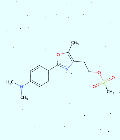 Cc1oc(-c2ccc(N(C)C)cc2)nc1CCOS(C)(=O)=O